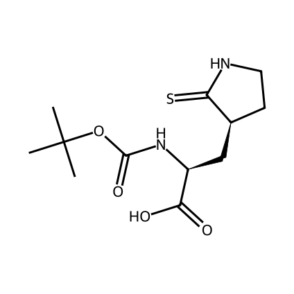 CC(C)(C)OC(=O)N[C@@H](C[C@@H]1CCNC1=S)C(=O)O